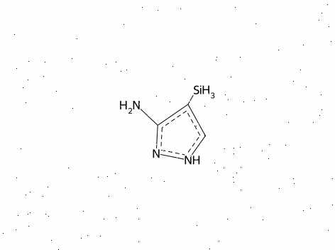 Nc1n[nH]cc1[SiH3]